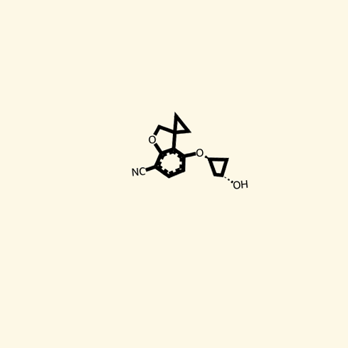 N#Cc1ccc(O[C@H]2C[C@@H](O)C2)c2c1OCC21CC1